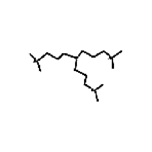 C[As](C)CCCP(CCC[As](C)C)CCC[As](C)C